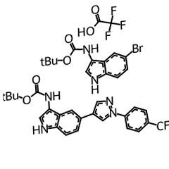 CC(C)(C)OC(=O)Nc1c[nH]c2ccc(-c3cnn(-c4ccc(C(F)(F)F)cc4)c3)cc12.CC(C)(C)OC(=O)Nc1c[nH]c2ccc(Br)cc12.O=C(O)C(F)(F)F